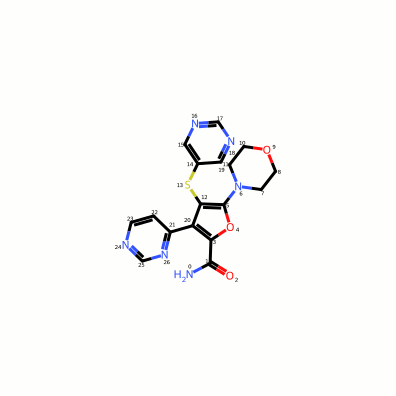 NC(=O)c1oc(N2CCOCC2)c(Sc2cncnc2)c1-c1ccncn1